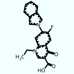 CCn1cc(C(=O)O)c(=O)c2cc(F)c(-n3cc4ccccc4c3)cc21